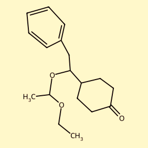 CCOC(C)OC(Cc1ccccc1)C1CCC(=O)CC1